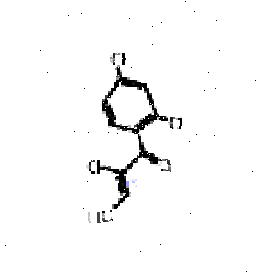 O=C(/C(Cl)=C/O)c1ccc(Cl)cc1Cl